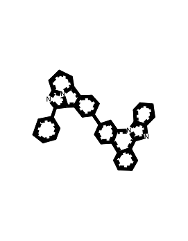 c1ccc(-c2nc3cccc4c5ccc(-c6ccc7c8ccccc8c8nc9ccccc9n8c7c6)cc5c2n34)cc1